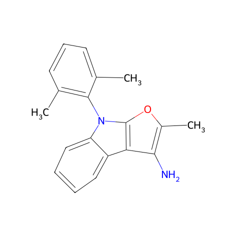 Cc1cccc(C)c1-n1c2ccccc2c2c(N)c(C)oc21